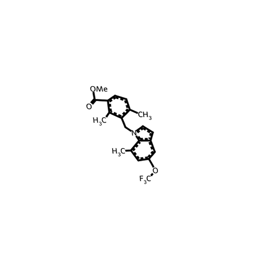 COC(=O)c1ccc(C)c(Cn2ccc3cc(OC(F)(F)F)cc(C)c32)c1C